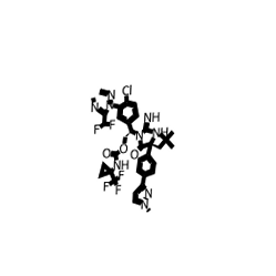 C=NN(/C(=N\C)C(F)F)c1cc([C@@H](COC(=O)NC2(C(F)(F)F)CC2)N2C(=N)N[C@](CC(C)(C)C)(c3ccc(-c4ccn(C)n4)cc3)C2=O)ccc1Cl